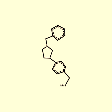 CSCc1ccc(C2CCN(Cc3ccccc3)C2)cc1